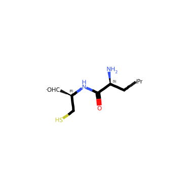 CC(C)C[C@H](N)C(=O)N[C@H]([C]=O)CS